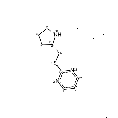 c1cnc(SC[C@@H]2CCCN2)nc1